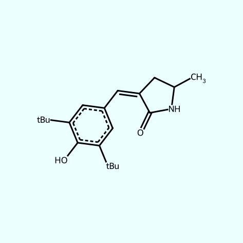 CC1CC(=Cc2cc(C(C)(C)C)c(O)c(C(C)(C)C)c2)C(=O)N1